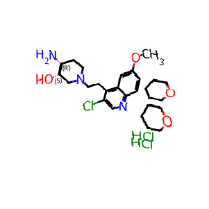 C1CCOCC1.C1CCOCC1.COc1ccc2ncc(Cl)c(CCN3CC[C@@H](N)[C@@H](O)C3)c2c1.Cl.Cl